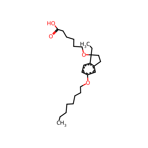 CCCCCCCCOc1ccc2c(c1)CCC2(CC)OCCCCCC(=O)O